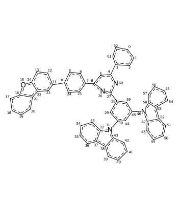 c1ccc(-c2cc(-c3ccc(-c4ccc5oc6ccccc6c5c4)cc3)nc(-c3cc(-n4c5ccccc5c5ccccc54)cc(-n4c5ccccc5c5ccccc54)c3)n2)cc1